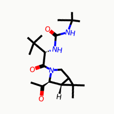 CC(=O)[C@@H]1[C@@H]2C(CN1C(=O)[C@@H](NC(=O)NC(C)(C)C)C(C)(C)C)C2(C)C